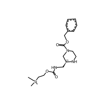 C[Si](C)(C)CCOC(=O)NC[C@H]1CN(C(=O)OCc2ccccc2)CCN1